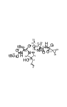 C=CC[C@]1(O)C[C@@H](C(=O)N[C@]2(C(=O)NS(=O)(=O)C3CC3)C[C@H]2C=C)N(C(=O)[C@@H](NC(=O)OC(C)(C)C)C(C)(C)C)C1